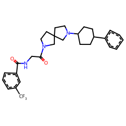 O=C(NCC(=O)N1CCC2(CCN(C3CCC(c4ccccc4)CC3)C2)C1)c1cccc(C(F)(F)F)c1